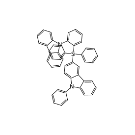 c1ccc(-n2c3ccccc3c3cc([Si](c4ccccc4)(c4ccccc4)c4ccccc4-n4c5ccccc5c5ccccc54)ccc32)cc1